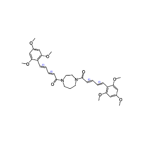 COc1cc(OC)c(/C=C/C=C/C(=O)N2CCCN(C(=O)/C=C/C=C/c3c(OC)cc(OC)cc3OC)CC2)c(OC)c1